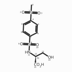 CS(=O)(=O)c1ccc(S(=O)(=O)N[C@@H](CO)C(=O)O)cc1